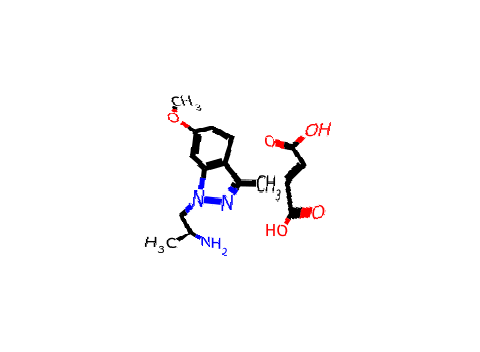 COc1ccc2c(C)nn(C[C@H](C)N)c2c1.O=C(O)/C=C/C(=O)O